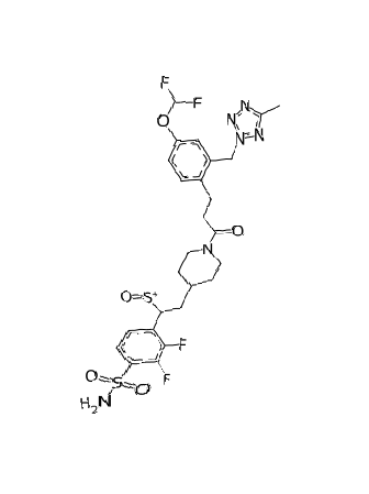 Cc1nnn(Cc2cc(OC(F)F)ccc2CCC(=O)N2CCC(CC([S+]=O)c3ccc(S(N)(=O)=O)c(F)c3F)CC2)n1